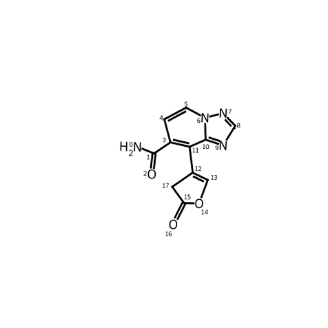 NC(=O)c1ccn2n[c]nc2c1C1=COC(=O)C1